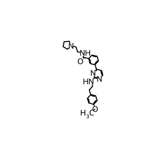 COc1ccc(CCNc2nccc(-c3cccc(C(=O)NCCN4CCCC4)c3)n2)cc1